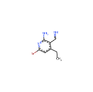 CCc1cc(Br)nc(N)c1C=N